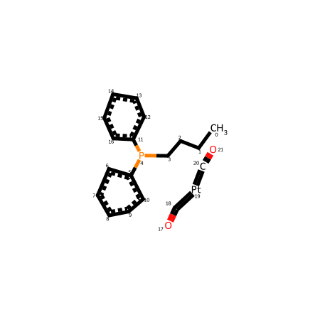 CCCCP(c1ccccc1)c1ccccc1.O=[C]=[Pt]=[C]=O